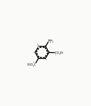 CCOC(=O)c1cnc(N)c(C(=O)OCC)c1